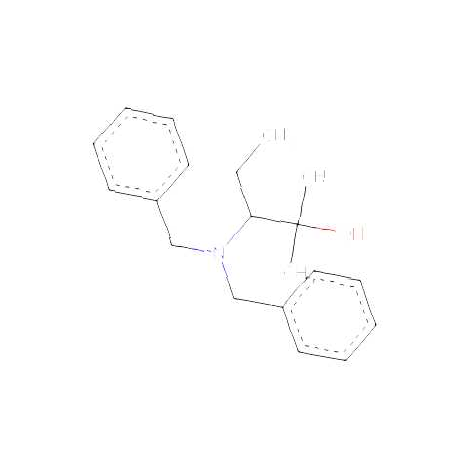 CCC(N(Cc1ccccc1)Cc1ccccc1)C(C)(C)O